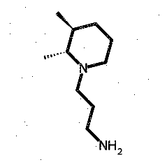 C[C@@H]1[C@@H](C)CCCN1CCCN